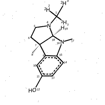 [2H]C([2H])([2H])N1CC[C@]2(C)c3cc(O)ccc3N(C)[C@H]12